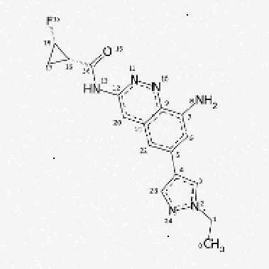 CCn1cc(-c2cc(N)c3nnc(NC(=O)[C@@H]4C[C@@H]4F)cc3c2)cn1